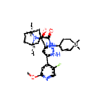 COc1cc(-c2cc(C(=O)N3[C@@H]4CC[C@H]3CC(C(=O)NC3CC[Si](C)(C)CC3)C4)n[nH]2)c(F)cn1